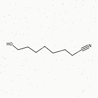 N#CCCCCCCCO